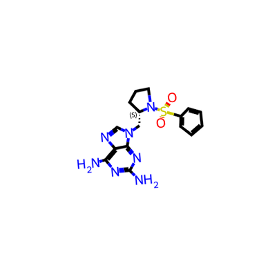 Nc1nc(N)c2ncn(C[C@@H]3CCCN3S(=O)(=O)c3ccccc3)c2n1